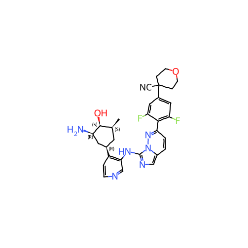 C[C@H]1C[C@@H](c2ccncc2Nc2ncc3ccc(-c4c(F)cc(C5(C#N)CCOCC5)cc4F)nn23)C[C@@H](N)[C@H]1O